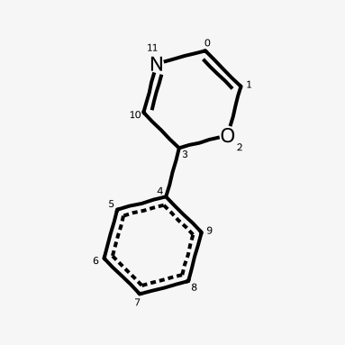 C1=COC(c2ccccc2)C=N1